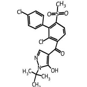 CC(C)(C)n1ncc(C(=O)c2ccc(S(C)(=O)=O)c(-c3ccc(Cl)cc3)c2Cl)c1O